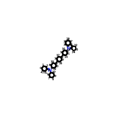 c1ccc(N(c2ccccc2)c2ccc(-c3ccc(-c4ccc(-n5c6c(c7ccccc75)CCC6)cc4)cc3)cc2)cc1